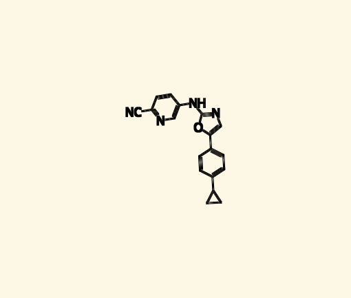 N#Cc1ccc(Nc2ncc(-c3ccc(C4CC4)cc3)o2)cn1